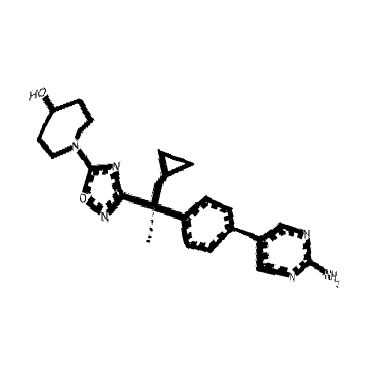 C[C@](c1ccc(-c2cnc(N)nc2)cc1)(c1noc(N2CCC(O)CC2)n1)C1CC1